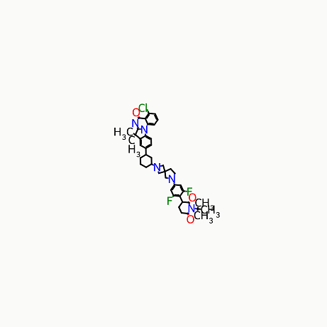 CC1(C)c2cc(C3CCCC(N4CC5(CCN(c6cc(F)c(C7CCC(=O)N(C(C)(C)C)C7=O)c(F)c6)C5)C4)C3)ccc2-n2c1nc(=O)c1c(Cl)cccc12